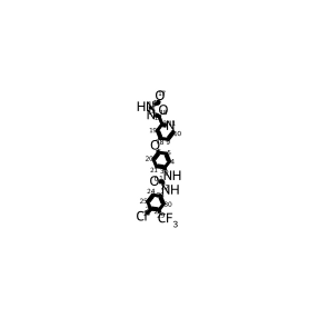 O=C(Nc1ccc(Oc2ccnc(-c3n[nH]c(=O)o3)c2)cc1)Nc1ccc(Cl)c(C(F)(F)F)c1